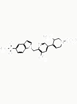 CC1CN(C(=O)O)CC=C1c1cnc(Cn2ccc3cc(S(C)(=O)=O)ccc32)c(C(F)(F)F)c1